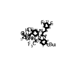 CC(C)(C)c1ccc2c(=O)n(-c3ccc(Cl)c4c(NS(C)(=O)=O)nn(CC(F)(F)F)c34)c([C@@H](N)Cc3cc(F)cc(F)c3)nc2c1